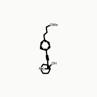 COCCCc1ccc(C#CC2(O)CN3CCC2CC3)cc1